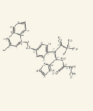 Cc1cc(COc2ccc(N(C(=O)C(F)(F)F)C(CC(=O)NO)c3nccs3)cc2)c2ccccc2n1